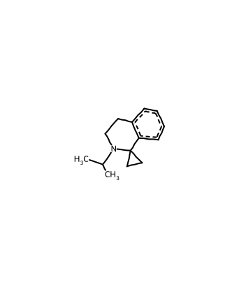 CC(C)N1CCc2ccccc2C12CC2